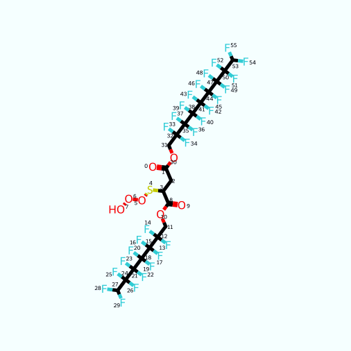 O=C(CC(SOOO)C(=O)OCC(F)(F)C(F)(F)C(F)(F)C(F)(F)C(F)(F)C(F)F)OCC(F)(F)C(F)(F)C(F)(F)C(F)(F)C(F)(F)C(F)(F)C(F)(F)C(F)F